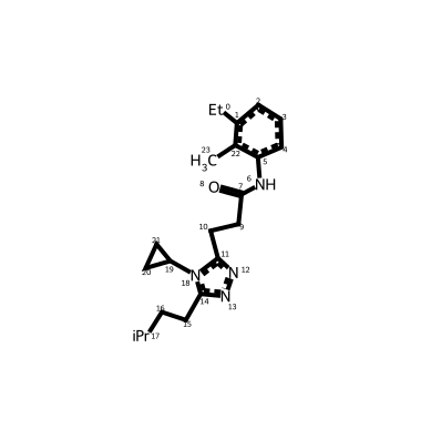 CCc1cccc(NC(=O)CCc2nnc(CCC(C)C)n2C2CC2)c1C